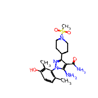 Cc1ccc(O)c(C)c1-n1nc(C2CCN(S(C)(=O)=O)CC2)c(C(N)=O)c1N